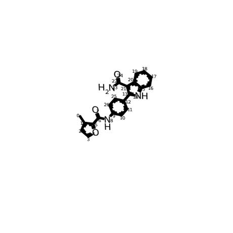 Cc1ccoc1C(=O)Nc1ccc(-c2[nH]c3ccccc3c2C(N)=O)cc1